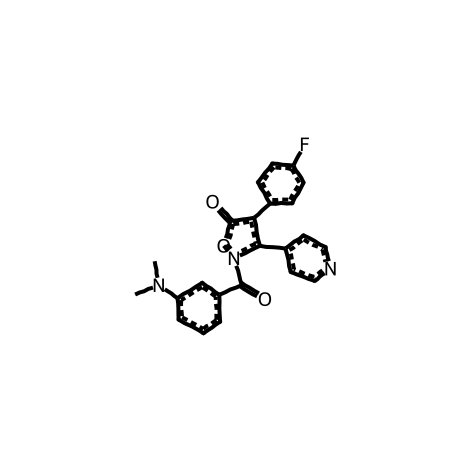 CN(C)c1cccc(C(=O)n2oc(=O)c(-c3ccc(F)cc3)c2-c2ccncc2)c1